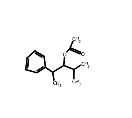 CC(=O)OC(C(C)C)C(C)c1ccccc1